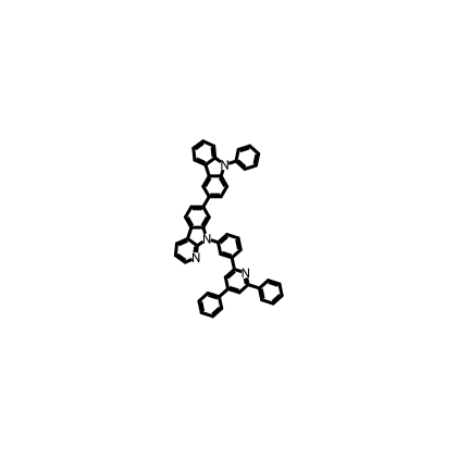 c1ccc(-c2cc(-c3ccccc3)nc(-c3cccc(-n4c5cc(-c6ccc7c(c6)c6ccccc6n7-c6ccccc6)ccc5c5cccnc54)c3)c2)cc1